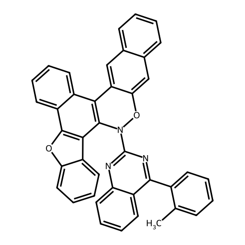 Cc1ccccc1-c1nc(N2Oc3cc4ccccc4cc3-c3c2c2c4ccccc4oc2c2ccccc32)nc2ccccc12